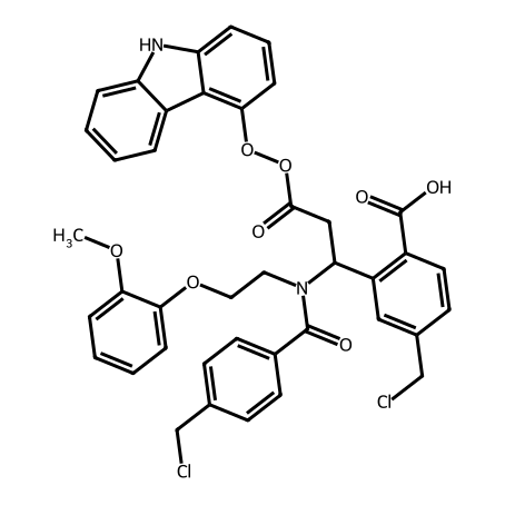 COc1ccccc1OCCN(C(=O)c1ccc(CCl)cc1)C(CC(=O)OOc1cccc2[nH]c3ccccc3c12)c1cc(CCl)ccc1C(=O)O